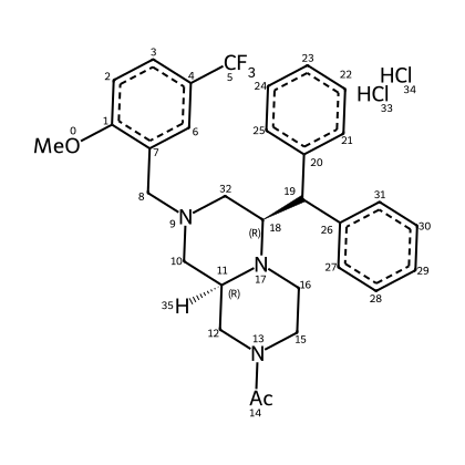 COc1ccc(C(F)(F)F)cc1CN1C[C@@H]2CN(C(C)=O)CCN2[C@H](C(c2ccccc2)c2ccccc2)C1.Cl.Cl